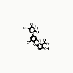 C=C1NC(=O)N(c2cc(Cl)c(Oc3ncc(O)c(C(CC)CC)n3)c(Cl)c2)N=C1C#N